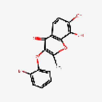 O=c1c(Oc2ccccc2Br)c(C(F)(F)F)oc2c(O)c(O)ccc12